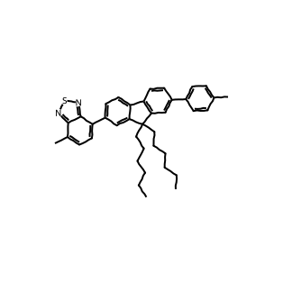 CCCCCCC1(CCCCCC)c2cc(-c3ccc(C)cc3)ccc2-c2ccc(-c3ccc(C)c4nsnc34)cc21